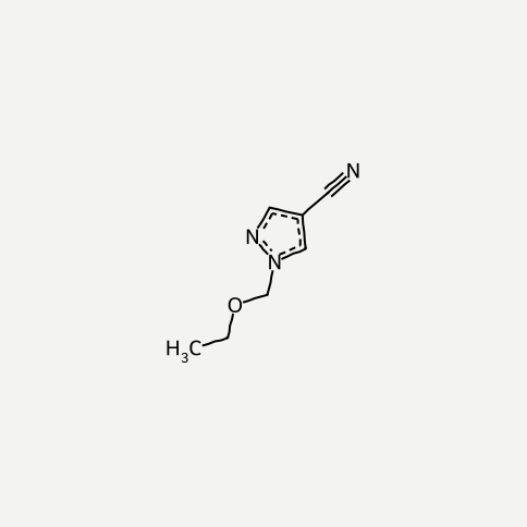 CCOCn1cc(C#N)cn1